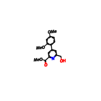 COC(=O)c1cc(-c2ccc(OC)cc2OC)cc(CO)n1